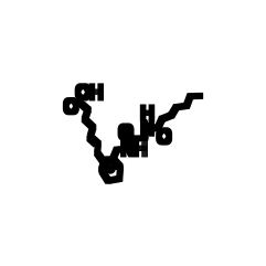 CCCCCCC(=O)NCC(=O)NCC1C2CCC(O2)C1CC=CCCCC(=O)O